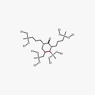 CCO[Si](C)(CCCN(CCC[Si](C)(OCC)OCC)C(=O)N(CCC[Si](C)(OCC)OCC)CCC[Si](C)(OCC)OCC)OCC